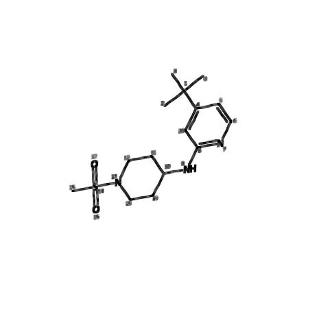 CC(C)(C)c1ccnc(NC2CCN(S(C)(=O)=O)CC2)c1